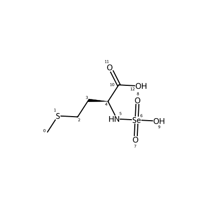 CSCC[C@H](N[Se](=O)(=O)O)C(=O)O